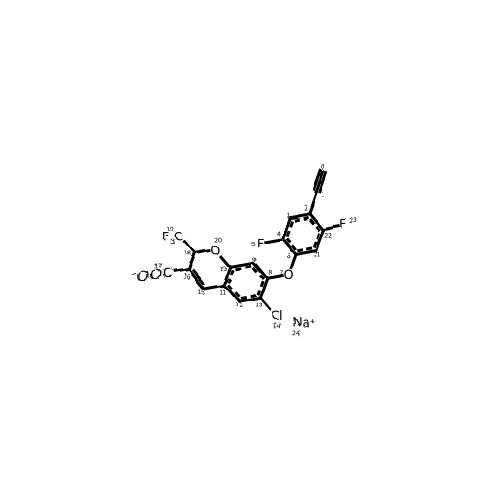 C#Cc1cc(F)c(Oc2cc3c(cc2Cl)C=C(C(=O)[O-])C(C(F)(F)F)O3)cc1F.[Na+]